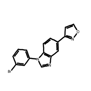 Brc1cccc(-n2cnc3cc(-c4ccon4)ccc32)c1